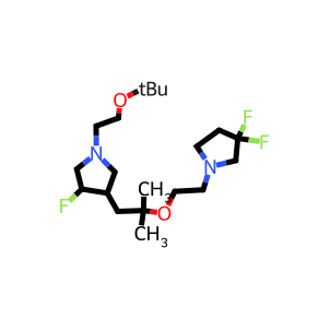 CC(C)(C)OCCN1CC(F)C(CC(C)(C)OCCN2CCC(F)(F)C2)C1